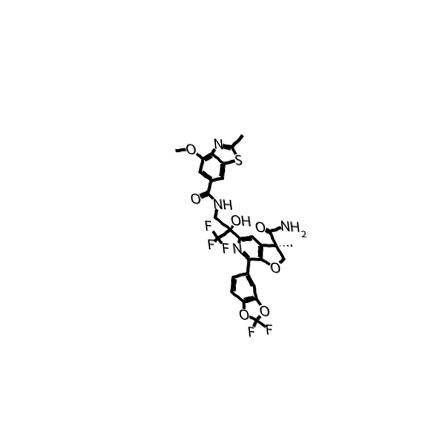 COc1cc(C(=O)NC[C@](O)(c2cc3c(c(-c4ccc5c(c4)OC(F)(F)O5)n2)OC[C@]3(C)C(N)=O)C(F)(F)F)cc2sc(C)nc12